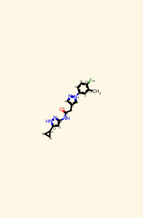 Cc1cc(-n2cc(CC(=O)Nc3cc(C4CC4)[nH]n3)cn2)ccc1F